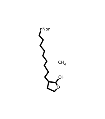 C.CCCCCCCCCCCCCCCCCCC1CCOC1O